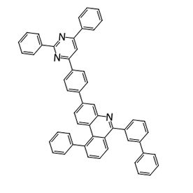 c1ccc(-c2cccc(-c3nc4cc(-c5ccc(-c6cc(-c7ccccc7)nc(-c7ccccc7)n6)cc5)ccc4c4c(-c5ccccc5)cccc34)c2)cc1